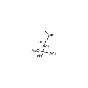 C=C(C)C(=O)O.CCC[Si](OC)(OC)OC